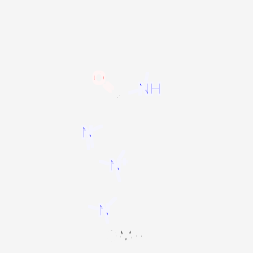 CON1C=CC2=NC(C(=O)Nc3ccccc3)=C[N+]2C1